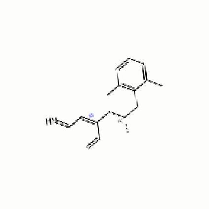 C=C/C(=C\C=N)C[C@@H](C)Cc1c(C)cccc1C